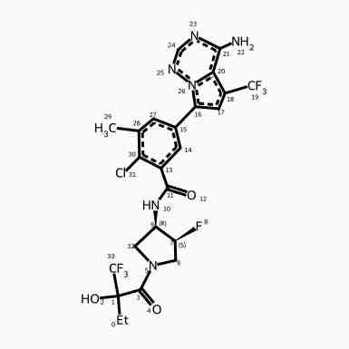 CCC(O)(C(=O)N1C[C@H](F)[C@H](NC(=O)c2cc(-c3cc(C(F)(F)F)c4c(N)ncnn34)cc(C)c2Cl)C1)C(F)(F)F